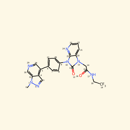 Cn1ncc2c(-c3ccc(-n4c(=O)n(CC(=O)NCC(F)(F)F)c5cccnc54)cc3)cncc21